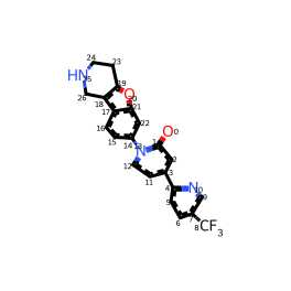 O=c1cc(-c2ccc(C(F)(F)F)cn2)ccn1-c1ccc2c3c(oc2c1)CCNC3